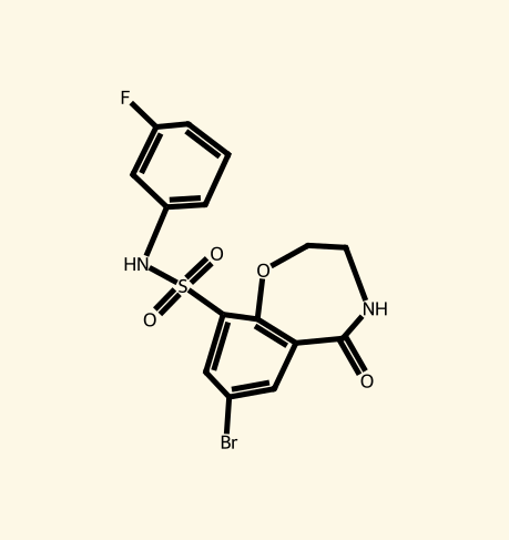 O=C1NCCOc2c1cc(Br)cc2S(=O)(=O)Nc1cccc(F)c1